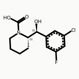 O=C(O)N1CCCC[C@H]1[C@@H](O)c1cc(F)cc(Cl)c1